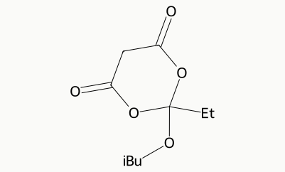 CCC(C)OC1(CC)OC(=O)CC(=O)O1